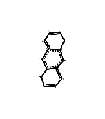 C1=CCc2cc3c(cc2=C1)CC=CC=3